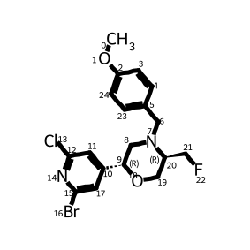 COc1ccc(CN2C[C@@H](c3cc(Cl)nc(Br)c3)OC[C@@H]2CF)cc1